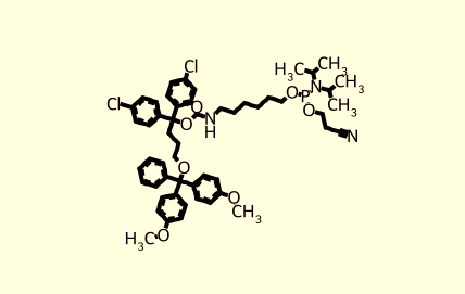 COc1ccc(C(OCCCC(OC(=O)NCCCCCCOP(OCCC#N)N(C(C)C)C(C)C)(c2ccc(Cl)cc2)c2ccc(Cl)cc2)(c2ccccc2)c2ccc(OC)cc2)cc1